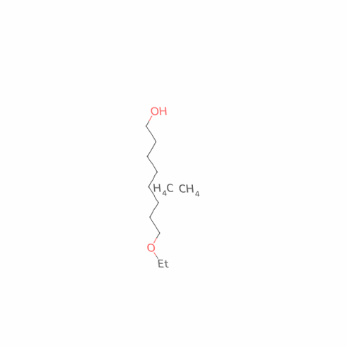 C.C.CCOCCCCCCCCO